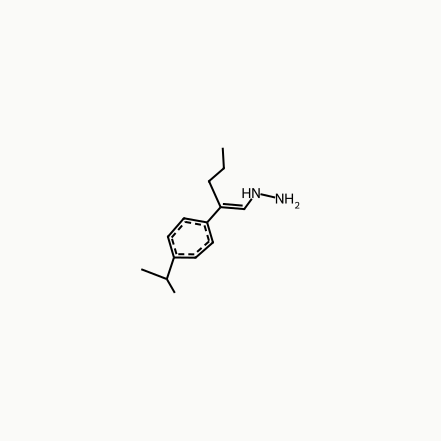 CCC/C(=C\NN)c1ccc(C(C)C)cc1